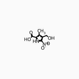 Cc1c(C(=O)O)[nH]c([N+](=O)[O-])c1CO